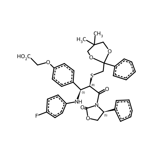 CC1(C)COC(CS[C@@H](C(=O)N2C(=O)OC[C@@H]2c2ccccc2)[C@@H](Nc2ccc(F)cc2)c2ccc(OCC(=O)O)cc2)(c2ccccc2)OC1